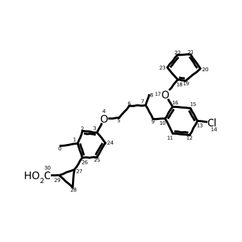 Cc1cc(OCCC(C)Cc2ccc(Cl)cc2Oc2ccccc2)ccc1C1CC1C(=O)O